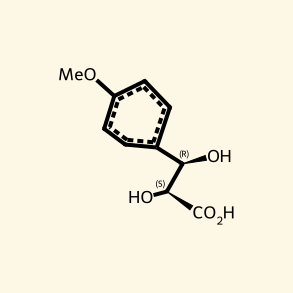 COc1ccc([C@@H](O)[C@H](O)C(=O)O)cc1